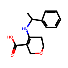 CC(NC1=C(C(=O)O)COCC1)c1ccccc1